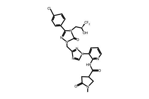 CN1CC(C(=O)Nc2ncccc2-n2cnc(Cn3nc(-c4ccc(Cl)cc4)n(C[C@H](O)C(F)(F)F)c3=O)n2)CC1=O